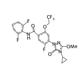 COc1nn(-c2cc(OCC(F)(F)F)c(C(=O)Nc3c(F)cccc3F)cc2F)c(=O)n1C1CC1